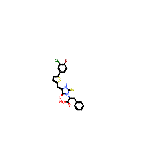 O=C(O)C(Cc1ccccc1)N1C(=O)C(=Cc2ccc(-c3ccc(Br)c(Cl)c3)s2)NC1=S